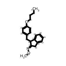 CCCCOc1ccc(CC2/C(=N/OC)Cc3ccccc32)cc1